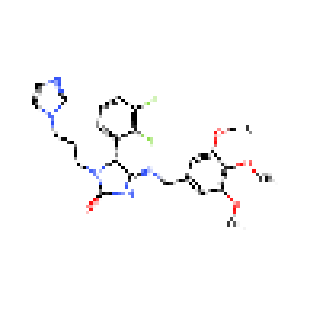 COc1cc(CN=C2NC(=O)N(CCCn3ccnc3)C2c2cccc(F)c2F)cc(OC)c1OC